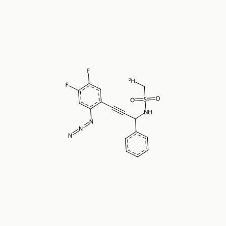 [2H]CS(=O)(=O)NC(C#Cc1cc(F)c(F)cc1N=[N+]=[N-])c1ccccc1